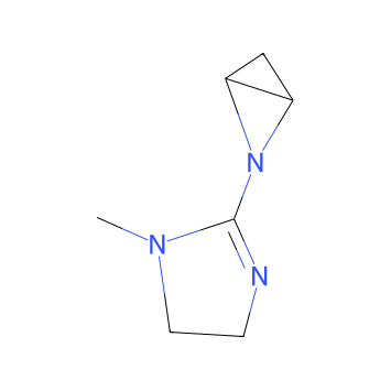 CN1CCN=C1N1C2CC21